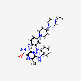 CCc1nc(C(N)=O)c(Nc2ccc(N3CCC(N4CCN(C)CC4)CC3)cc2)nc1N[C@@H]1CCCC[C@@H]1N